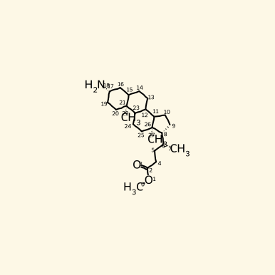 COC(=O)CC[C@@H](C)[C@H]1CCC2C3CCC4C[C@@H](N)CC[C@]4(C)C3CC[C@@]21C